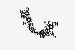 CC1(C)C(=O)N(c2ccc(C#N)c(C(F)(F)F)c2)C(=S)N1c1ccc(OCCN2CCN(CC(=O)Nc3cccc(NC4CCC(=O)NC4=O)c3)CC2)c(Cl)c1